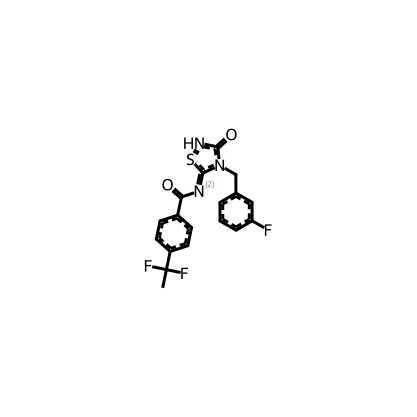 CC(F)(F)c1ccc(C(=O)/N=c2\s[nH]c(=O)n2Cc2cccc(F)c2)cc1